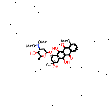 COc1cccc2c1C(=O)c1c(O)c3c(c(O)c1C2=O)C[C@@](O)(C(C)=O)C[C@@H]3OC1CC(N(OC)OC)C(O)C(C)O1